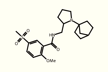 COc1ccc(S(C)(=O)=O)cc1C(=O)NCC1CCCN1C12CCC(CC1)C2